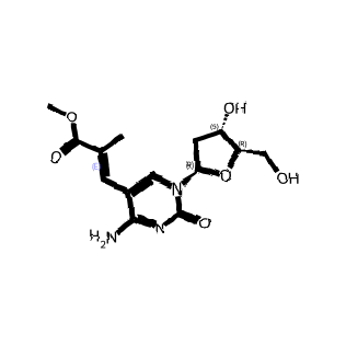 COC(=O)/C(C)=C/c1cn([C@H]2C[C@H](O)[C@@H](CO)O2)c(=O)nc1N